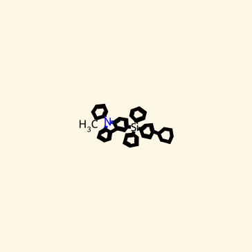 CC1CC=CC=C1n1c2ccccc2c2cc([Si](c3ccccc3)(c3ccccc3)c3ccc(C4CCCCC4)cc3)ccc21